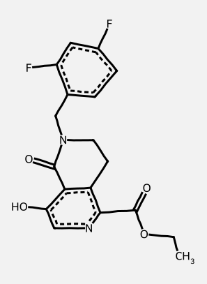 CCOC(=O)c1ncc(O)c2c1CCN(Cc1ccc(F)cc1F)C2=O